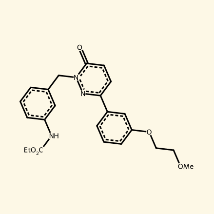 CCOC(=O)Nc1cccc(Cn2nc(-c3cccc(OCCOC)c3)ccc2=O)c1